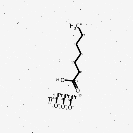 CC(C)[O-].CC(C)[O-].CC(C)[O-].CCCCCCC(=O)[O-].[Ti+4]